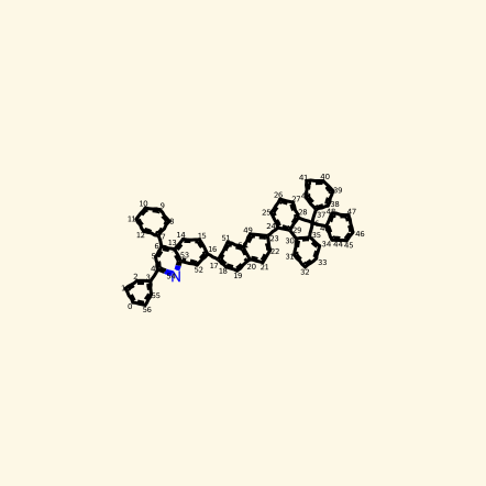 c1ccc(-c2cc(-c3ccccc3)c3ccc(-c4ccc5ccc(-c6cccc7c6-c6ccccc6C7(c6ccccc6)c6ccccc6)cc5c4)cc3n2)cc1